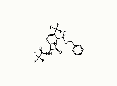 O=C(OCc1ccccc1)C1C(C(F)(F)F)=CSC2C(NC(=O)C(F)(F)F)C(=O)N12